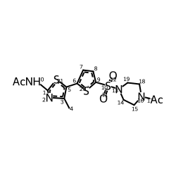 CC(=O)Nc1nc(C)c(-c2ccc(S(=O)(=O)N3CCN(C(C)=O)CC3)s2)s1